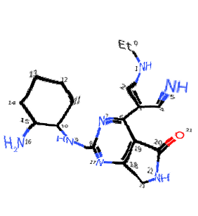 CCN/C=C(\C=N)c1nc(NC2CCCCC2N)nc2c1C(=O)NC2